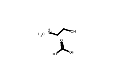 NCCO.O.O=C(O)O